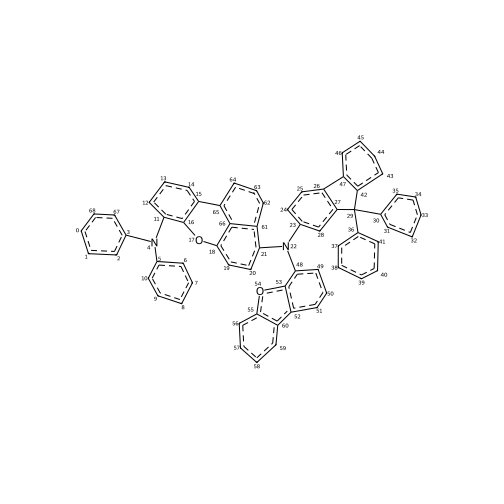 c1ccc(N(c2ccccc2)c2cccc3c2Oc2ccc(N(c4ccc5c(c4)C(c4ccccc4)(c4ccccc4)c4ccccc4-5)c4cccc5c4oc4ccccc45)c4cccc-3c24)cc1